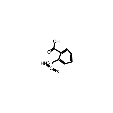 N=C=S.O=C(O)c1cccc[c]1[Na]